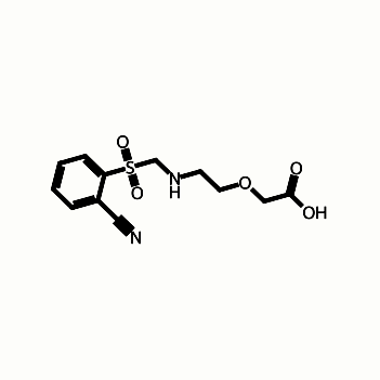 N#Cc1ccccc1S(=O)(=O)CNCCOCC(=O)O